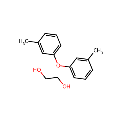 Cc1cccc(Oc2cccc(C)c2)c1.OCCO